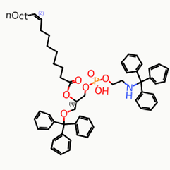 CCCCCCCC/C=C\CCCCCCCC(=O)O[C@H](COC(c1ccccc1)(c1ccccc1)c1ccccc1)COP(=O)(O)OCCNC(c1ccccc1)(c1ccccc1)c1ccccc1